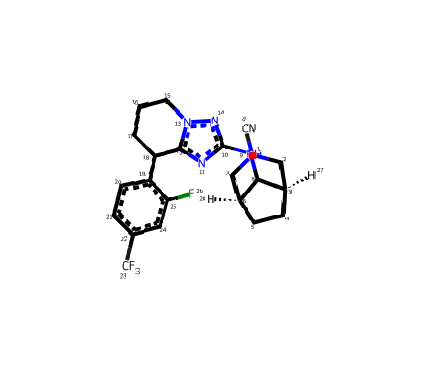 N#CN1C[C@H]2CC[C@@H](C1)C2Nc1nc2n(n1)CCCC2c1ccc(C(F)(F)F)cc1F